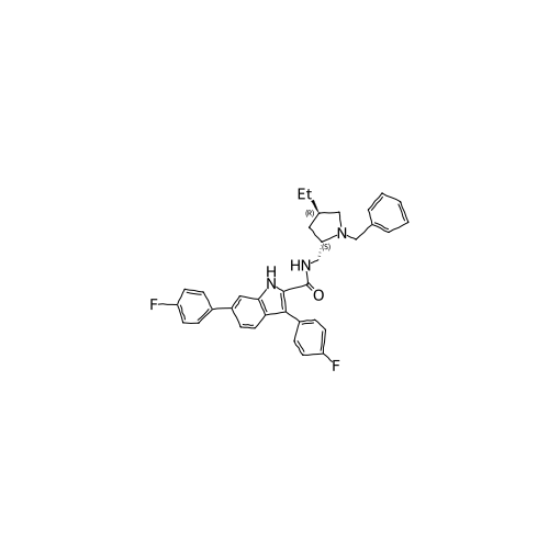 CC[C@@H]1C[C@@H](CNC(=O)c2[nH]c3cc(-c4ccc(F)cc4)ccc3c2-c2ccc(F)cc2)N(Cc2ccccc2)C1